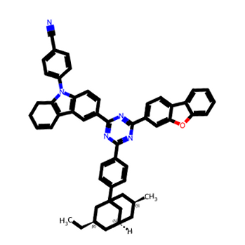 CC[C@@H]1C[C@@H]2C[C@H](C)CC(c3ccc(-c4nc(-c5ccc6c(c5)oc5ccccc56)nc(-c5ccc6c(c5)c5c(n6-c6ccc(C#N)cc6)CCC=C5)n4)cc3)(C1)C2